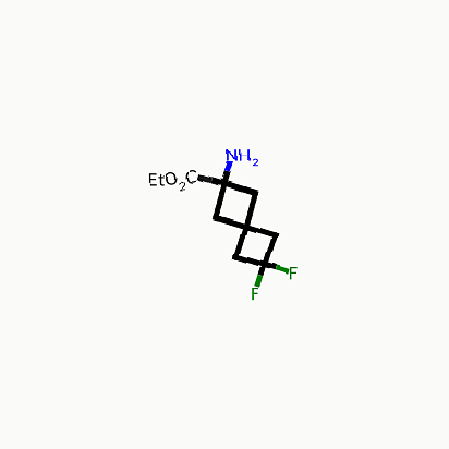 CCOC(=O)C1(N)CC2(CC(F)(F)C2)C1